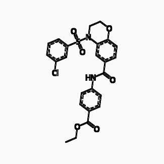 CCOC(=O)c1ccc(NC(=O)c2ccc3c(c2)N(S(=O)(=O)c2cccc(Cl)c2)CCO3)cc1